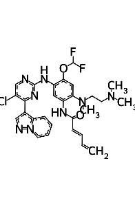 C=C/C=C/C(=O)Nc1cc(Nc2ncc(Cl)c(-c3cnn4ccccc34)n2)c(OC(F)F)cc1N(C)CCN(C)C